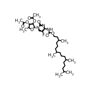 CC(=O)O[C@@H]1[C@H](OC(C)=O)[C@@H](C)O[C@H]1n1cc(F)c(NC(=O)OCCC(C)CCCC(C)CCCC(C)CCCC(C)C)nc1=O